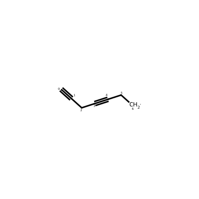 [C]#CCC#CC[CH2]